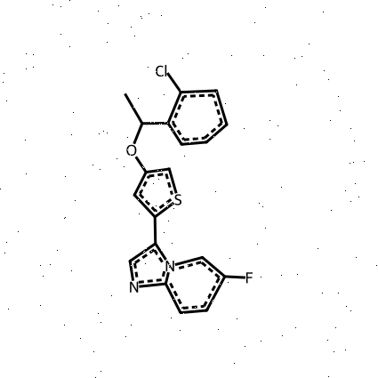 CC(Oc1csc(-c2cnc3ccc(F)cn23)c1)c1ccccc1Cl